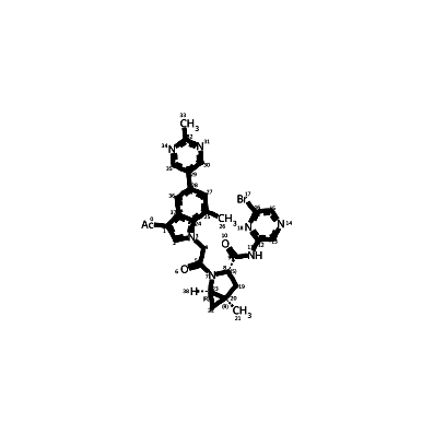 CC(=O)c1cn(CC(=O)N2[C@H](C(=O)Nc3cncc(Br)n3)C[C@@]3(C)C[C@@H]23)c2c(C)cc(-c3cnc(C)nc3)cc12